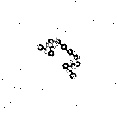 O=C(N[C@H](C(=O)N1CCC[C@H]1c1ncc(-c2ccc(-c3ccc(-c4cnc([C@@H]5CCCN5C(=O)[C@H](NC(=O)c5ccncc5)c5ccccc5)s4)cc3)cc2)s1)c1ccccc1)c1ccncc1